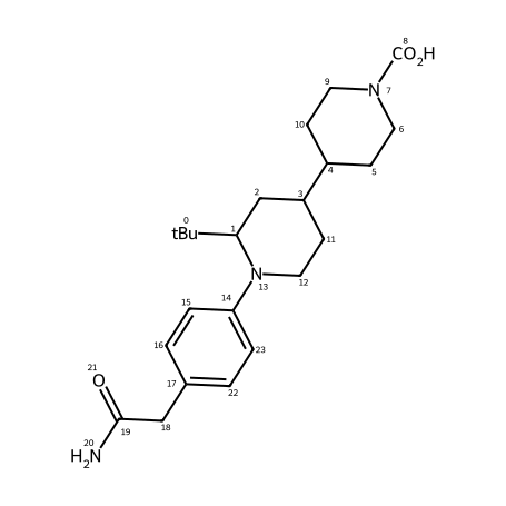 CC(C)(C)C1CC(C2CCN(C(=O)O)CC2)CCN1c1ccc(CC(N)=O)cc1